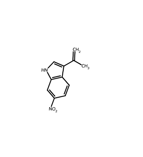 C=C(C)c1c[nH]c2cc([N+](=O)[O-])ccc12